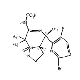 CC1(C)C(NC(=O)O)=N[C@](C)(c2nc(Br)ccc2F)[C@@H]2CCN[SH]21=O